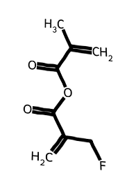 C=C(C)C(=O)OC(=O)C(=C)CF